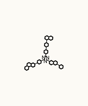 c1ccc(-c2ccc3cc(-c4nc(-c5ccc(-c6ccc(-c7cccc8ccccc78)cc6)cc5)nc(-c5ccc(-c6ccc7c(ccc8ccccc87)c6)cc5)n4)ccc3c2)cc1